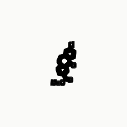 COC(=O)c1ccc2c(c1)C(=O)c1ccc(Cl)cc1CC2